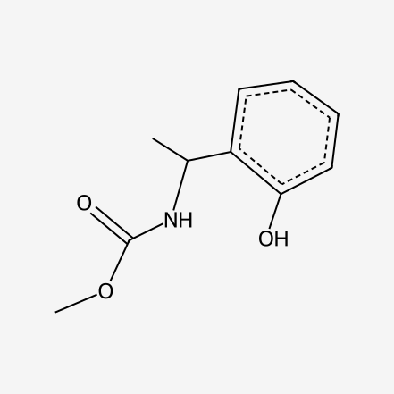 COC(=O)NC(C)c1ccccc1O